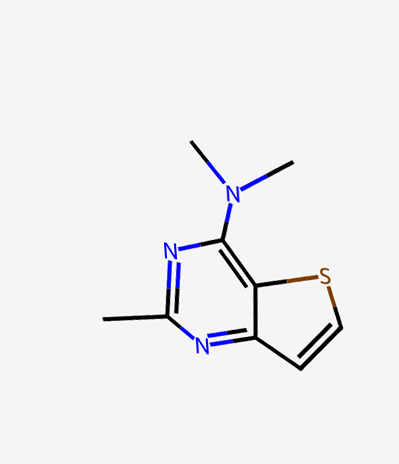 Cc1nc(N(C)C)c2sccc2n1